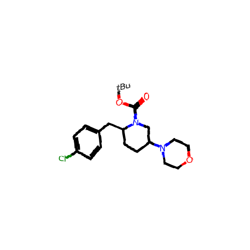 CC(C)(C)OC(=O)N1CC(N2CCOCC2)CCC1Cc1ccc(Cl)cc1